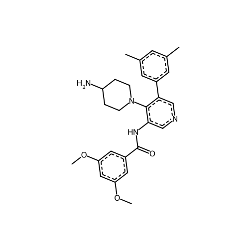 COc1cc(OC)cc(C(=O)Nc2cncc(-c3cc(C)cc(C)c3)c2N2CCC(N)CC2)c1